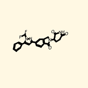 O=C1CCC(N2Cc3cc(-c4cc(-c5ccccc5)n(C(F)F)n4)ccc3C2=O)C(=O)N1